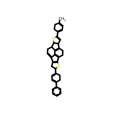 CC1=CC=C(C2=CC3C4=C5C6=C(CC4)C4=C(CC(C7=CC=C(c8ccccc8)CC7)S4)C6=CCC5C3S2)CC1